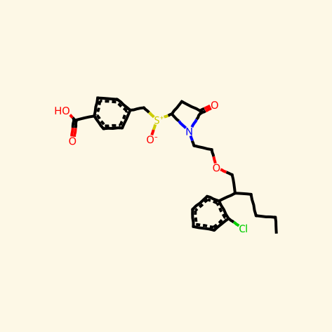 CCCCC(COCCN1C(=O)CC1[S+]([O-])Cc1ccc(C(=O)O)cc1)c1ccccc1Cl